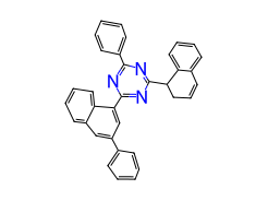 C1=Cc2ccccc2C(c2nc(-c3ccccc3)nc(-c3cc(-c4ccccc4)cc4ccccc34)n2)C1